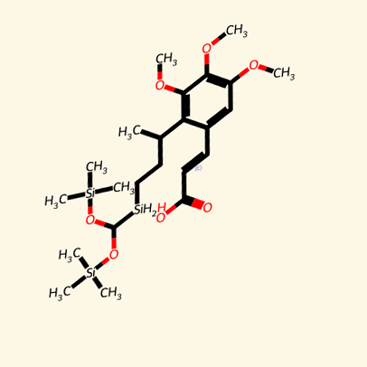 COc1cc(/C=C/C(=O)O)c(C(C)CC[SiH2]C(O[Si](C)(C)C)O[Si](C)(C)C)c(OC)c1OC